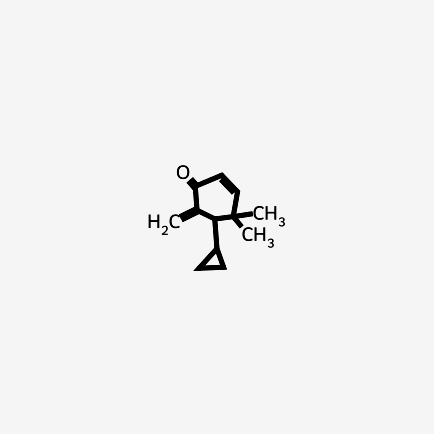 C=C1C(=O)C=CC(C)(C)C1C1CC1